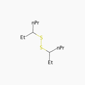 CCCC(CC)SSC(CC)CCC